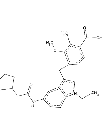 CCn1cc(Cc2ccc(C(=O)O)c(C)c2OC)c2cc(NC(=O)CC3CCCC3)ccc21